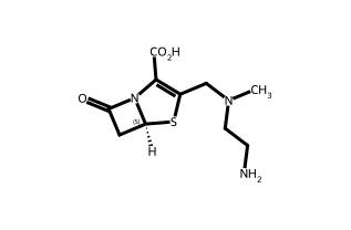 CN(CCN)CC1=C(C(=O)O)N2C(=O)C[C@@H]2S1